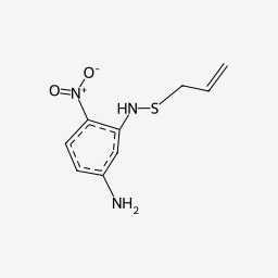 C=CCSNc1cc(N)ccc1[N+](=O)[O-]